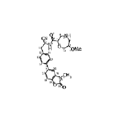 COC1CNCC(C(=O)NC(C#N)Cc2ccc(-c3ccc4oc(=O)n(C)c4c3)cc2)OC1